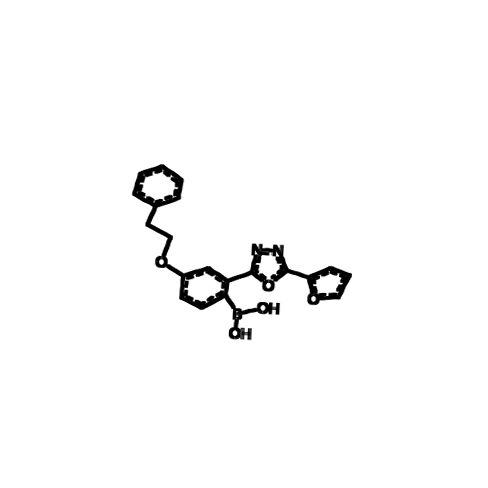 OB(O)c1ccc(OCCc2ccccc2)cc1-c1nnc(-c2ccco2)o1